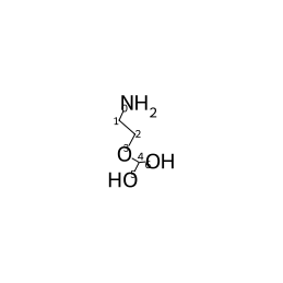 NCCOC(O)O